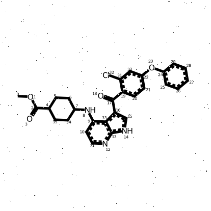 COC(=O)C1CCC(Nc2ccnc3[nH]cc(C(=O)c4ccc(Oc5ccccc5)cc4Cl)c23)CC1